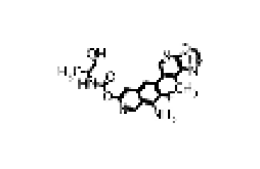 Cc1c(-c2cc3cc(OC(=O)N[C@@H](C)CO)ncc3c(N)c2F)cnc2c1NCCO2